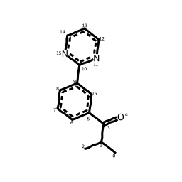 CC(C)C(=O)c1cccc(-c2ncccn2)c1